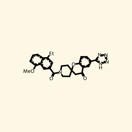 CCc1cc(C(=O)N2CCC3(CC2)CC(=O)c2cc(-c4nnn[nH]4)ccc2O3)cc2c(OC)cccc12